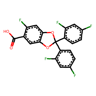 O=C(O)c1cc2c(cc1F)OC(c1ccc(F)cc1F)(c1ccc(F)cc1F)O2